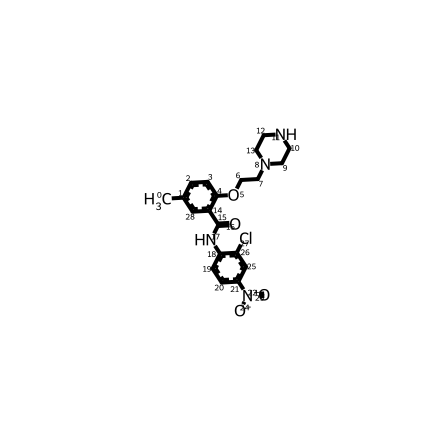 Cc1ccc(OCCN2CCNCC2)c(C(=O)Nc2ccc([N+](=O)[O-])cc2Cl)c1